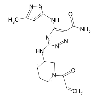 C=CC(=O)N1CCCC(Nc2nnc(C(N)=O)c(Nc3cc(C)ns3)n2)C1